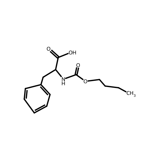 CCCCOC(=O)NC(Cc1ccccc1)C(=O)O